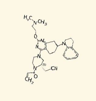 C=CC(=O)N1CCN(c2nc(OCCN(C)C)nc3c2CCC(N2CCCc4ccccc42)C3)C[C@@H]1CC#N